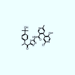 COc1cnc(Cl)cc1-c1cc(C)ncc1C(=O)Nc1nnc(C(=O)N(C)c2ccc(C(C)(C)O)cc2)s1